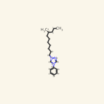 CCCC(C)CCCCCCCN1CN(c2ccccc2)C=N1